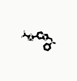 CN(Cc1cn2ccc(-c3nnc(C(F)F)o3)cc2n1)c1ccccc1